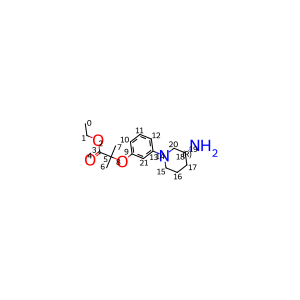 CCOC(=O)C(C)(C)Oc1cccc(N2CCC[C@@H](N)C2)c1